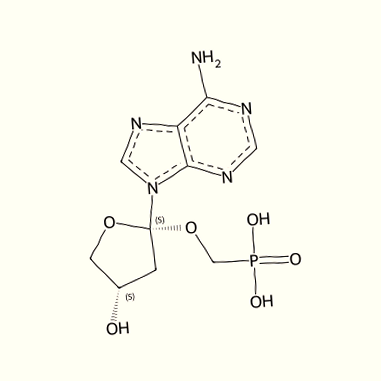 Nc1ncnc2c1ncn2[C@@]1(OCP(=O)(O)O)C[C@H](O)CO1